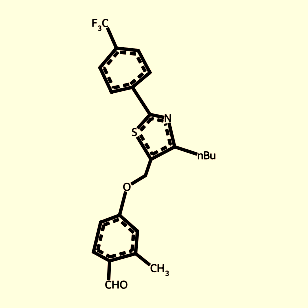 CCCCc1nc(-c2ccc(C(F)(F)F)cc2)sc1COc1ccc(C=O)c(C)c1